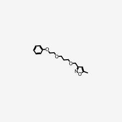 Cc1cc(COCCCOCCOc2ccccc2)no1